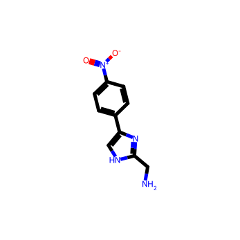 NCc1nc(-c2ccc([N+](=O)[O-])cc2)c[nH]1